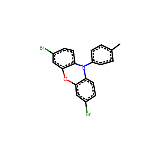 Cc1ccc(N2c3ccc(Br)cc3Oc3cc(Br)ccc32)cc1